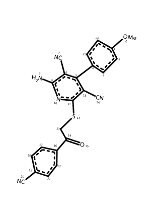 COc1ccc(-c2c(C#N)c(N)nc(SCC(=O)c3ccc(C#N)cc3)c2C#N)cc1